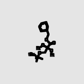 CCOC(CO[Si](C)(C)C(C)(C)C)(OCC)C(=O)OCc1ccccc1